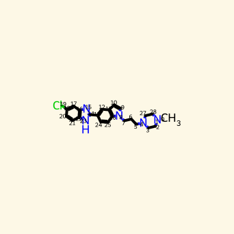 CN1CCN(CCCn2ccc3cc(-c4nc5cc(Cl)ccc5[nH]4)ccc32)CC1